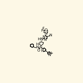 Cn1cc(-c2ccc(N(C(=O)NCc3ccccc3)[C@H]3CC[C@H](Nc4ncc(C#N)c(N5CCOC(F)(F)C5)n4)CC3)nc2)cn1